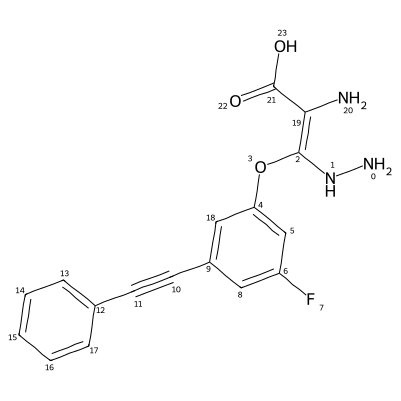 NN/C(Oc1cc(F)cc(C#Cc2ccccc2)c1)=C(\N)C(=O)O